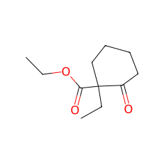 CCOC(=O)C1(CC)CCCCC1=O